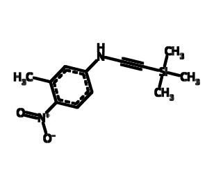 Cc1cc(NC#C[Si](C)(C)C)ccc1[N+](=O)[O-]